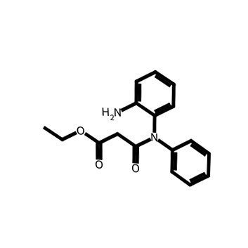 CCOC(=O)CC(=O)N(c1ccccc1)c1ccccc1N